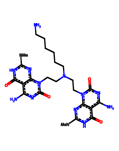 CNc1nc2c(c(N)nc(=O)n2CCN(CCCCCCN)CCn2c(=O)nc(N)c3c(=O)[nH]c(NC)nc32)c(=O)[nH]1